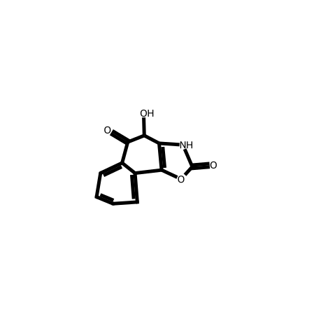 O=C1c2ccccc2-c2oc(=O)[nH]c2C1O